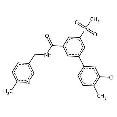 Cc1ccc(CNC(=O)c2cc(-c3ccc(C)c(Cl)c3)cc(S(C)(=O)=O)c2)cn1